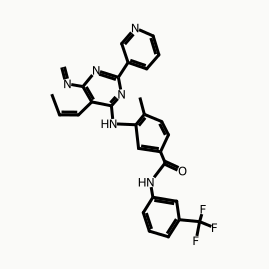 C=Nc1nc(-c2cccnc2)nc(Nc2cc(C(=O)Nc3cccc(C(F)(F)F)c3)ccc2C)c1/C=C\C